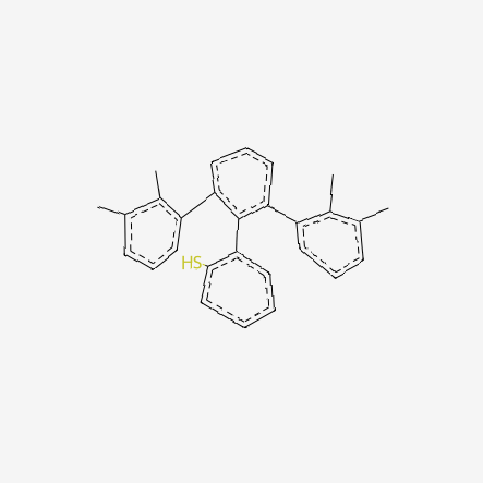 Cc1cccc(-c2cccc(-c3cccc(C)c3C)c2-c2ccccc2S)c1C